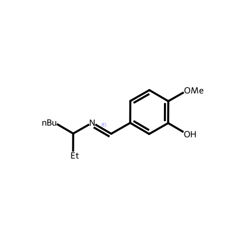 CCCCC(CC)/N=C/c1ccc(OC)c(O)c1